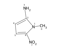 Cn1c(N)ccc1[N+](=O)[O-]